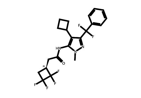 Cn1nc(C(F)(F)c2ccccc2)c(C2CCC2)c1NC(=O)C[C@@H]1CC(F)(F)C1(F)F